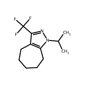 CC(C)n1nc(C(F)(F)F)c2c1CCCCC2